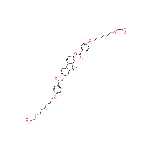 CC1(C)c2cc(OC(=O)c3ccc(OCCCCCCOCC4CO4)cc3)ccc2-c2ccc(OC(=O)c3ccc(OCCCCCCOCC4CO4)cc3)cc21